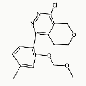 COCOc1cc(C)ccc1-c1nnc(Cl)c2c1CCOC2